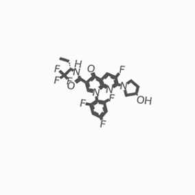 CC[C@H](NC(=O)c1cn(-c2c(F)cc(F)cc2F)c2nc(N3CC[C@H](O)C3)c(F)cc2c1=O)C(F)(F)F